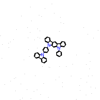 c1ccc(-n2c3ccccc3c3cc4c5ccccc5n(-c5ccc(-n6c7ccccc7c7ccccc76)cc5)c4cc32)cc1